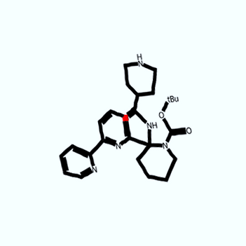 CC(C)(C)OC(=O)N1CCCCC1(NC(=O)C1CCNCC1)c1nccc(-c2ccccn2)n1